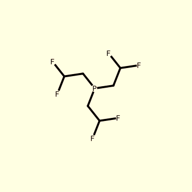 FC(F)CP(CC(F)F)CC(F)F